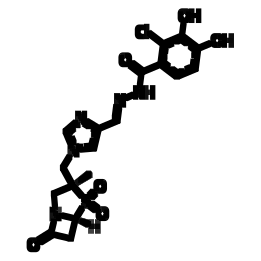 C[C@]1(Cn2cnc(/C=N/NC(=O)c3ccc(O)c(O)c3Cl)c2)CN2C(=O)C[C@H]2S1(=O)=O